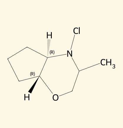 CC1CO[C@@H]2CCC[C@H]2N1Cl